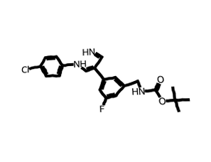 CC(C)(C)OC(=O)NCc1cc(F)cc(/C(C=N)=C/Nc2ccc(Cl)cc2)c1